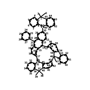 CC1(C)c2ccccc2N(c2ccc3c4c5cc(ccc5c(-c5ccccc5)c3c2)N2c3ccccc3C(C)(C)c3ccc(cc32)C2(C)c3ccccc3-c3ccc-4cc32)c2ccccc21